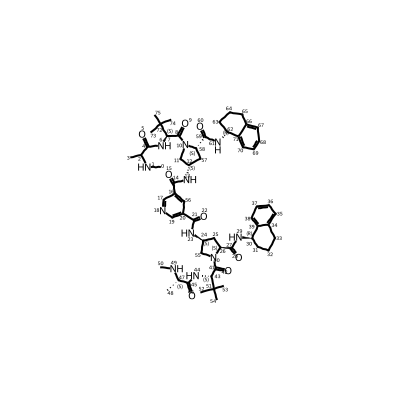 CNC(C)C(=O)N[C@H](C(=O)N1C[C@@H](NC(=O)c2cncc(C(=O)N[C@H]3C[C@@H](C(=O)N[C@@H]4CCCc5ccccc54)N(C(=O)[C@@H](NC(=O)[C@H](C)NC)C(C)(C)C)C3)c2)C[C@H]1C(=O)N[C@@H]1CCCc2ccccc21)C(C)(C)C